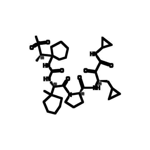 C[C@@H](C1(NC(=O)N[C@H](C(=O)N2CCC[C@H]2C(=O)N[C@@H](CC2CC2)C(=O)C(=O)NC2CC2)C2(C)CCCCC2)CCCCC1)S(C)(=O)=O